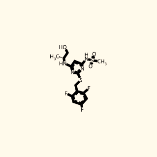 C[C@H](CO)Nc1cc(NS(C)(=O)=O)nc(SCc2c(F)cc(F)cc2F)n1